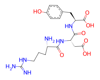 N=C(N)NCCC[C@H](N)C(=O)N[C@@H](CC(=O)O)C(=O)N[C@@H](Cc1ccc(O)cc1)C(=O)O